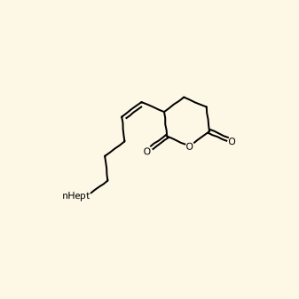 CCCCCCCCCC/C=C\C1CCC(=O)OC1=O